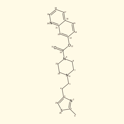 Cc1nc(CCN2CCN(C(=O)Oc3ccc4cccnc4c3)CC2)cs1